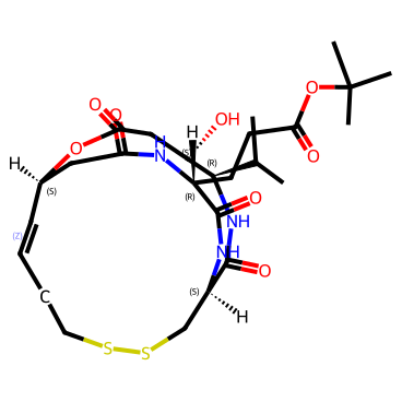 CC(C)[C@H]1NC(=O)[C@H]2CSSCC/C=C\[C@H](CC(=O)N[C@H](CCC(=O)OC(C)(C)C)C(=O)N2)OC(=O)C[C@@H]1O